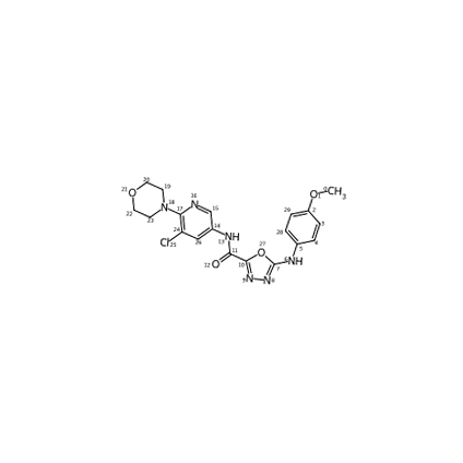 COc1ccc(Nc2nnc(C(=O)Nc3cnc(N4CCOCC4)c(Cl)c3)o2)cc1